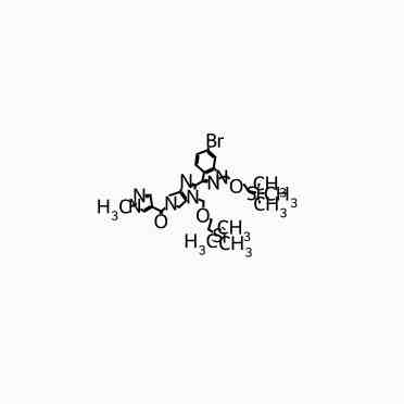 Cn1cc(C(=O)N2Cc3nc(-c4nn(COCC[Si](C)(C)C)c5cc(Br)ccc45)n(COCC[Si](C)(C)C)c3C2)cn1